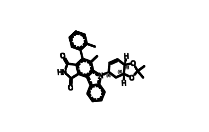 Cc1ccccc1-c1c2c(c3c4ccccc4n([C@H]4C=C[C@@H]5OC(C)(C)O[C@@H]5C4)c3c1C)C(=O)NC2=O